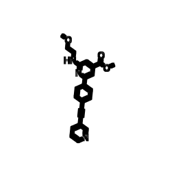 COCCNc1cc(C(=O)OC)cc(-c2ccc(C#Cc3cccnc3)cc2)n1